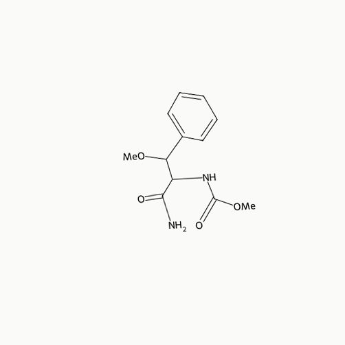 COC(=O)NC(C(N)=O)C(OC)c1ccccc1